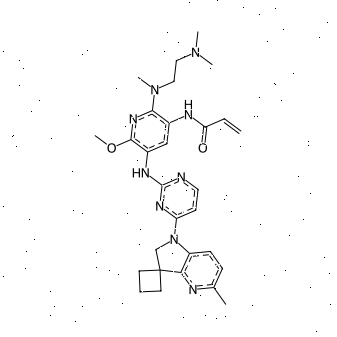 C=CC(=O)Nc1cc(Nc2nccc(N3CC4(CCC4)c4nc(C)ccc43)n2)c(OC)nc1N(C)CCN(C)C